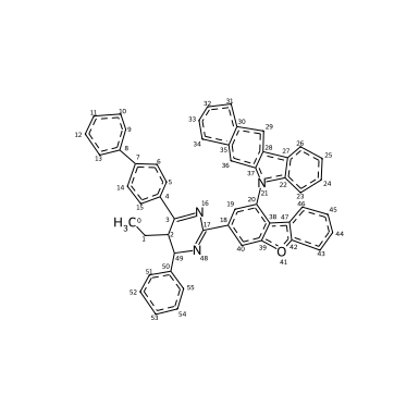 CCC1C(c2ccc(-c3ccccc3)cc2)=NC(c2cc(-n3c4ccccc4c4cc5ccccc5cc43)c3c(c2)oc2ccccc23)=NC1c1ccccc1